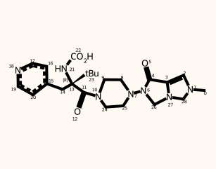 CN1C=C2C(=O)N(N3CCN(C(=O)[C@](Cc4ccncc4)(NC(=O)O)C(C)(C)C)CC3)CN2C1